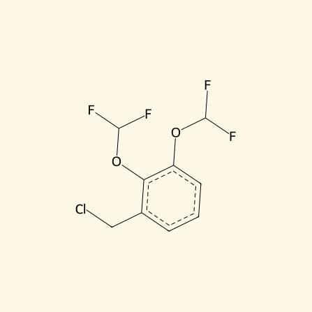 FC(F)Oc1cccc(CCl)c1OC(F)F